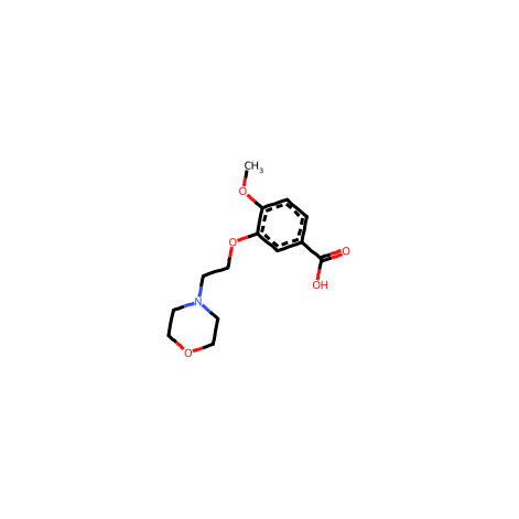 COc1ccc(C(=O)O)cc1OCCN1CCOCC1